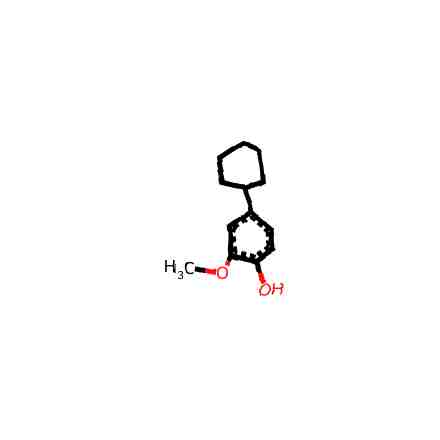 COc1cc(C2CCCCC2)ccc1O